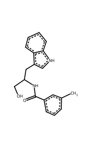 Cc1cccc(C(=O)NC(CO)Cc2c[nH]c3ccccc23)c1